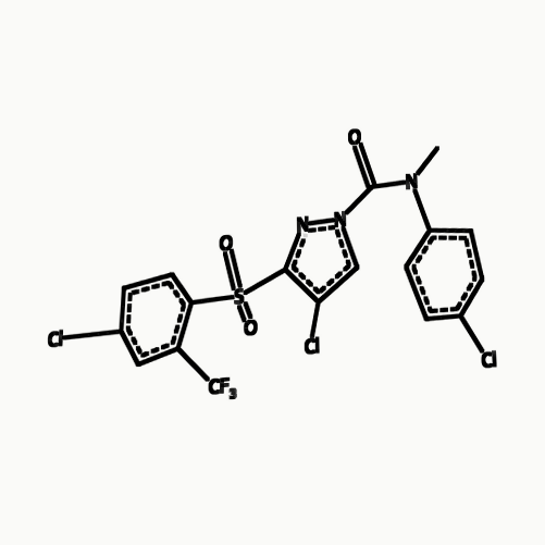 CN(C(=O)n1cc(Cl)c(S(=O)(=O)c2ccc(Cl)cc2C(F)(F)F)n1)c1ccc(Cl)cc1